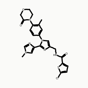 Cc1cc(-n2cc(CNC(=O)c3ccc(Cl)s3)nc2-c2cn(C)cn2)ccc1N1CCOCC1=O